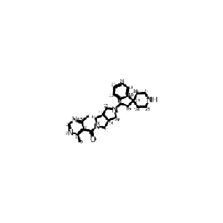 Cc1ncnc(C)c1C(=O)N1CC2CN(CCC3(c4ccccc4)CCNCC3)CC2C1